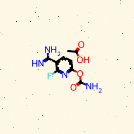 CC(=O)O.N=C(N)c1ccc(OC(N)=O)nc1F